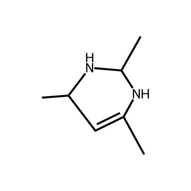 CC1=CC(C)NC(C)N1